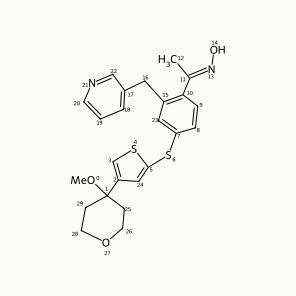 COC1(c2csc(Sc3ccc(/C(C)=N/O)c(Cc4cccnc4)c3)c2)CCOCC1